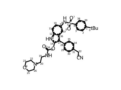 CC(C)(C)c1ccc(S(=O)(=O)Nc2ccc3[nH]c(OC(=O)NCCN4CCOCC4)c(-c4ccc(CC#N)cc4)c3c2)cc1